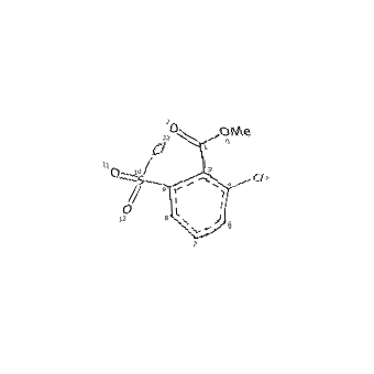 COC(=O)c1c(Cl)cccc1S(=O)(=O)Cl